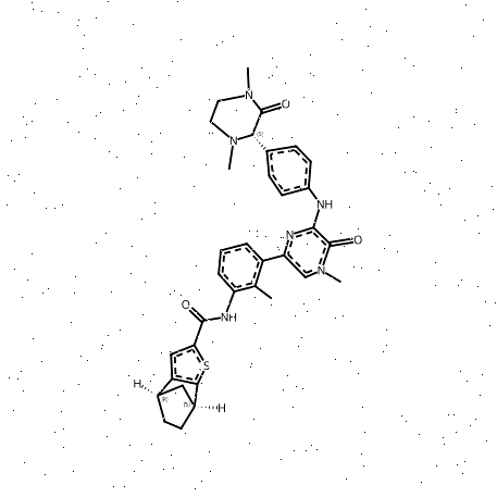 Cc1c(NC(=O)c2cc3c(s2)[C@H]2CC[C@@H]3C2)cccc1-c1cn(C)c(=O)c(Nc2ccc([C@H]3C(=O)N(C)CCN3C)cc2)n1